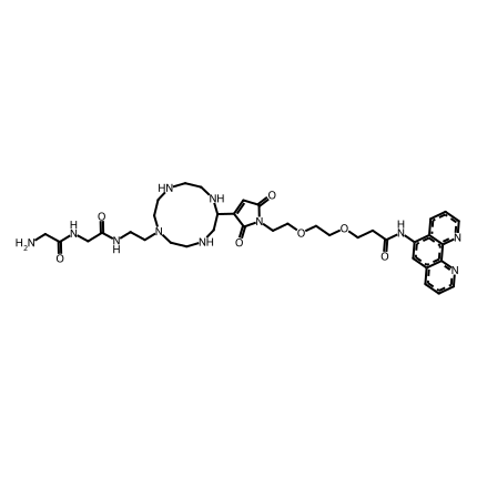 NCC(=O)NCC(=O)NCCN1CCNCCNC(C2=CC(=O)N(CCOCCOCCC(=O)Nc3cc4cccnc4c4ncccc34)C2=O)CNCC1